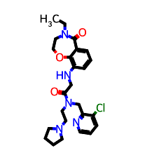 CCN1CCOc2c(NCC(=O)N(CCN3CCCC3)Cc3ncccc3Cl)cccc2C1=O